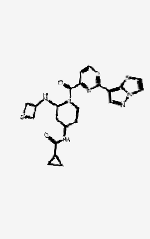 O=C(NC1CCN(C(=O)c2ccnc(-c3cnn4ccsc34)n2)C(NC2COC2)C1)C1CC1